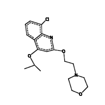 CC(C)Oc1cc(OCCN2CCOCC2)nc2c(Cl)cccc12